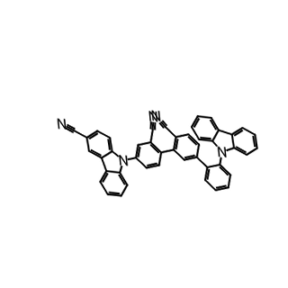 N#Cc1ccc2c(c1)c1ccccc1n2-c1ccc(-c2cc(-c3ccccc3-n3c4ccccc4c4ccccc43)ccc2C#N)c(C#N)c1